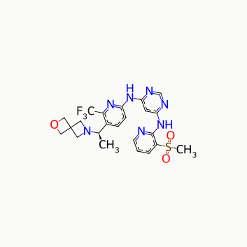 C[C@H](c1ccc(Nc2cc(Nc3ncccc3S(C)(=O)=O)ncn2)nc1C(F)(F)F)N1CC2(COC2)C1